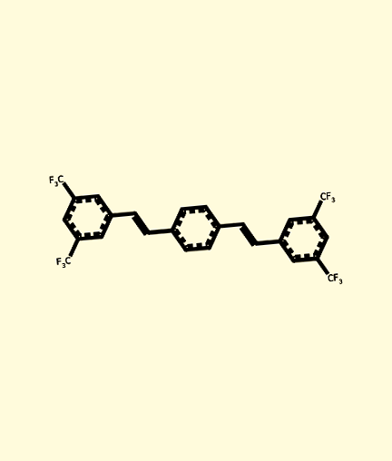 FC(F)(F)c1cc(/C=C/c2ccc(/C=C/c3cc(C(F)(F)F)cc(C(F)(F)F)c3)cc2)cc(C(F)(F)F)c1